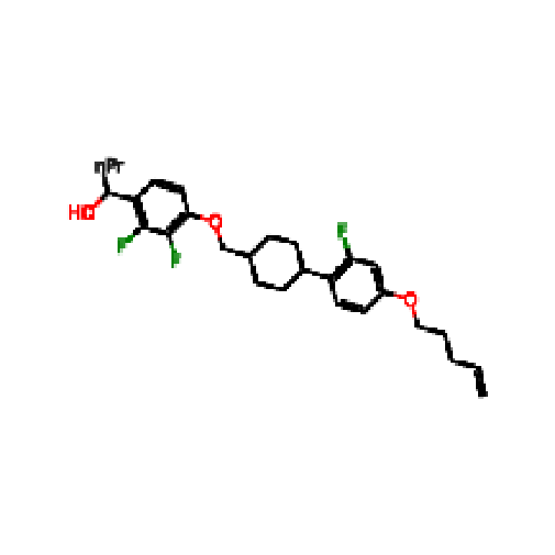 C=CCCCOc1ccc(C2CCC(COc3ccc(C(O)CCC)c(F)c3F)CC2)c(F)c1